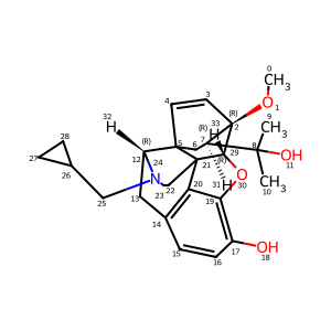 CO[C@]12C=CC3(C[C@@H]1C(C)(C)O)[C@H]1Cc4ccc(O)c5c4C3(CCN1CC1CC1)[C@H]2O5